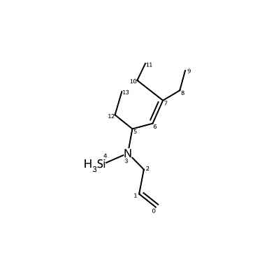 C=CCN([SiH3])C(C=C(CC)CC)CC